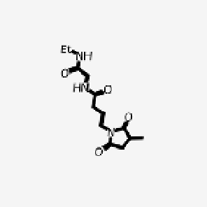 CCNC(=O)CNC(=O)CCCN1C(=O)CC(C)C1=O